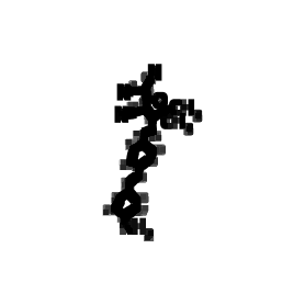 CC1(C)OC(=C(C#N)C#N)C(C#N)=C1/C=C/c1ccc(/C=C/c2ccc(N)cc2)cc1